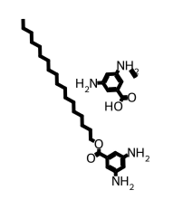 C=C.CCCCCCCCCCCCCCCCCCOC(=O)c1cc(N)cc(N)c1.Nc1cc(N)cc(C(=O)O)c1